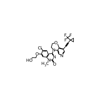 Cn1c(=O)nc(N2CCOCc3c(C#CC4(C(F)(F)F)CC4)cncc32)c2cc(Cl)c(OCCO)cc21